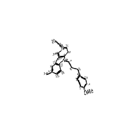 COc1ccc(CCCn2c3c(c4cc(C)ccc42)CN(C)CC3)cc1